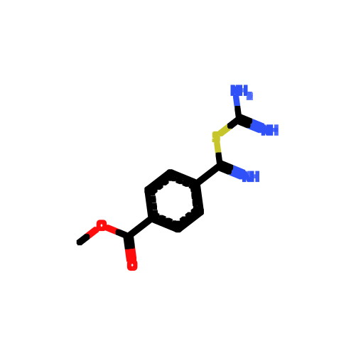 COC(=O)c1ccc(C(=N)SC(=N)N)cc1